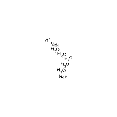 O.O.O.O.O.[H+].[NaH].[NaH]